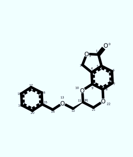 O=C1OCc2c1ccc1c2O[C@H](COCc2ccccc2)CO1